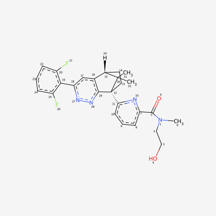 CN(CCO)C(=O)c1cccc([C@]23CC[C@@H](c4cc(-c5c(F)cccc5F)nnc42)C3(C)C)n1